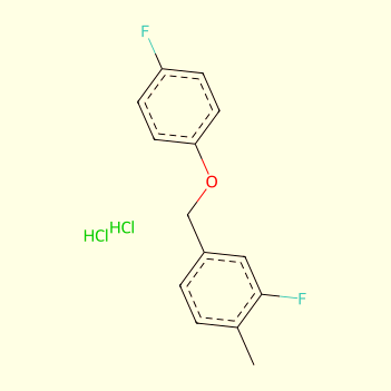 Cc1ccc(COc2ccc(F)cc2)cc1F.Cl.Cl